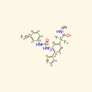 CC(C)NC(=O)C(F)(F)c1ccc(-c2ccsc2)c(NC(=O)Nc2cccc(C(F)(F)F)c2)c1